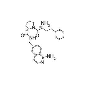 Nc1nccc2cc(CNC(=O)[C@@H]3CCCN3C(=O)[C@H](N)CCc3ccccc3)ccc12